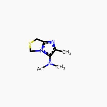 CC(=O)N(C)c1c(C)nc2n1CSC2